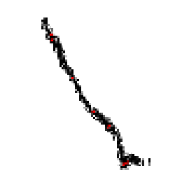 COCCOCCOCCOCCOCCOCCOCCOCCOCCOCCOCCOCCOCCOCCOCCOCCOCCOCCOCCOCCOCCOCCOCCOCC[N+]1=C(C)C(C)(C)c2cc(SOOO)ccc21